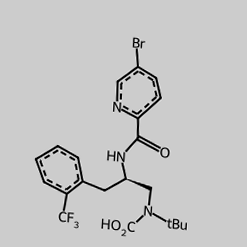 CC(C)(C)N(C[C@@H](Cc1ccccc1C(F)(F)F)NC(=O)c1ccc(Br)cn1)C(=O)O